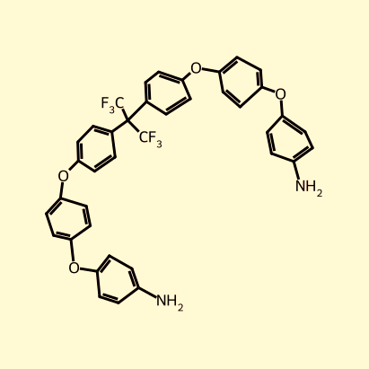 Nc1ccc(Oc2ccc(Oc3ccc(C(c4ccc(Oc5ccc(Oc6ccc(N)cc6)cc5)cc4)(C(F)(F)F)C(F)(F)F)cc3)cc2)cc1